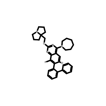 Fc1c(-c2ccccc2-c2ccccc2)c(Cl)cc2c(N3CCCCCC3)nc(OCC34CCCN3CCC4)nc12